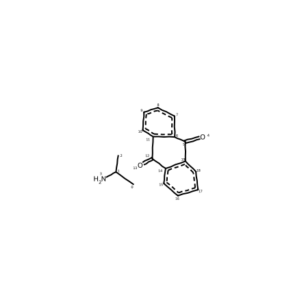 CC(C)N.O=C1c2ccccc2C(=O)c2ccccc21